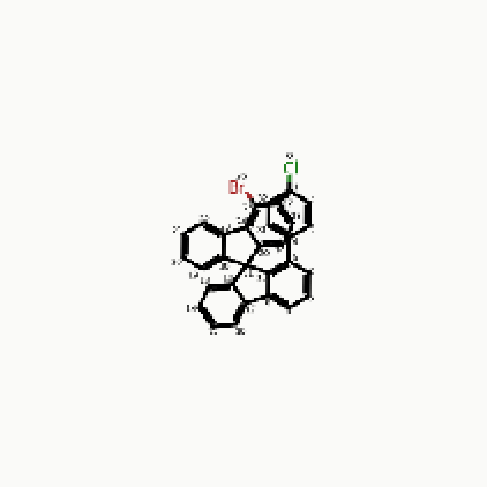 Clc1ccc(-c2cccc3c2C2(c4ccccc4-3)c3ccccc3-c3c(Br)cccc32)cc1